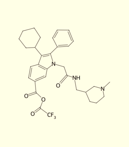 CN1CCCC(CNC(=O)Cn2c(-c3ccccc3)c(C3CCCCC3)c3ccc(C(=O)OC(=O)C(F)(F)F)cc32)C1